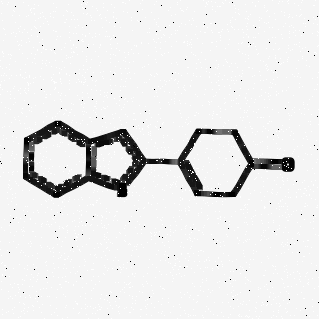 O=C1CC=C(c2cc3ccccc3s2)CC1